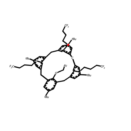 CC(=O)COc1c2cc(C(C)(C)C)cc1Cc1cc(C(C)(C)C)cc(c1OCCCC(F)(F)F)Cc1cc(C(C)(C)C)cc(c1OCCCC(F)(F)F)Cc1cc(C(C)(C)C)cc(c1OCCCC(F)(F)F)C2